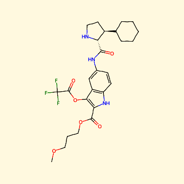 COCCCOC(=O)c1[nH]c2ccc(NC(=O)[C@@H]3NCC[C@H]3C3CCCCC3)cc2c1OC(=O)C(F)(F)F